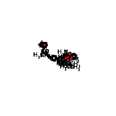 C[C@H](CCC12CC3CC(CC(C3)C1)C2)C(=O)NCCN1CCC(n2nc(-c3ccc(Oc4ccccc4)c(N)c3)c3c(N(C(=O)OC(C)(C)C)C(=O)OC(C)(C)C)ncnc32)CC1